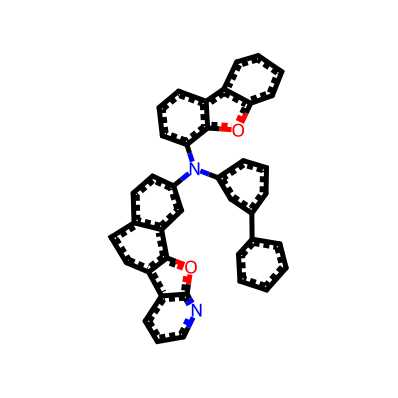 c1ccc(-c2cccc(N(c3ccc4ccc5c6cccnc6oc5c4c3)c3cccc4c3oc3ccccc34)c2)cc1